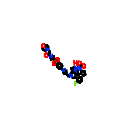 O=C(O)N[C@H]1CCC[C@@H]1[C@](CN1CCC1)(c1cccc(F)c1)C1CCN(CC2CN(c3ccc(S(=O)(=O)C4CN(C(=O)CN5CCOCC5)C4)cc3)C2)CC1